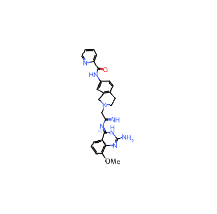 COc1cccc2/c(=N/C(=N)CN3CCc4ccc(NC(=O)c5ccccn5)cc4C3)[nH]c(N)nc12